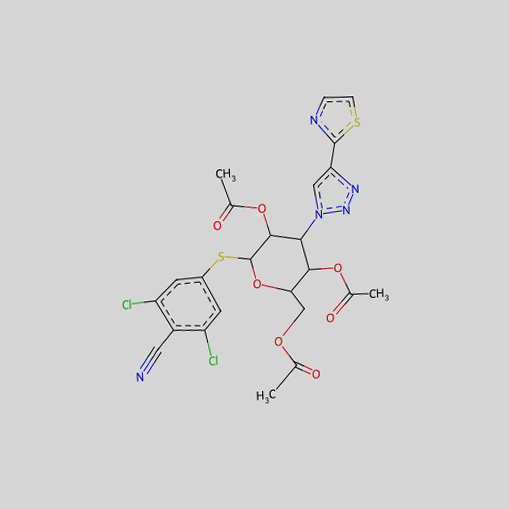 CC(=O)OCC1OC(Sc2cc(Cl)c(C#N)c(Cl)c2)C(OC(C)=O)C(n2cc(-c3nccs3)nn2)C1OC(C)=O